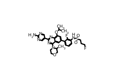 CC(C)Oc1cc(-c2cccc(NS(=O)(=O)CCCF)c2F)cc2c(N3CCOCC3C)nc(-c3cnc(N)nc3)nc12